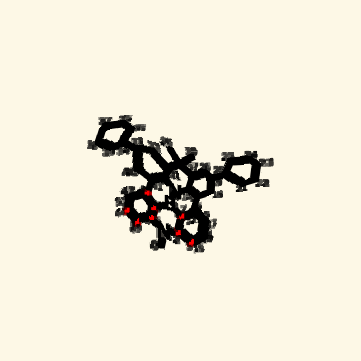 CN1c2ccccc2B(N2c3c(-c4ccccc4)cc(-c4ccccc4)cc3C(C)(C)c3cc(-c4ccccc4)cc(-c4ccccc4)c32)c2ccccc21